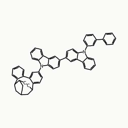 c1ccc(-c2cccc(-n3c4ccccc4c4cc(-c5ccc6c(c5)c5ccccc5n6-c5ccc6c(c5)-c5ccccc5C5CC7CC6CCC5C7)ccc43)c2)cc1